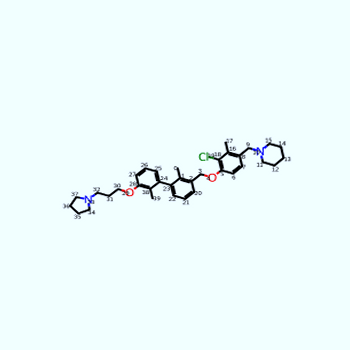 Cc1c(COc2ccc(CN3CCCCC3)c(C)c2Cl)cccc1-c1cccc(OCCCN2CCCC2)c1C